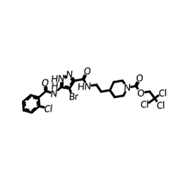 O=C(Nc1[nH]nc(C(=O)NCCC2CCN(C(=O)OCC(Cl)(Cl)Cl)CC2)c1Br)c1ccccc1Cl